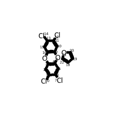 Clc1cc2c(cc1Cl)Oc1cc(Cl)c(Cl)cc1O2.c1ccoc1